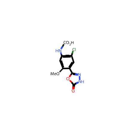 COc1cc(NC(=O)O)c(Cl)cc1-c1n[nH]c(=O)o1